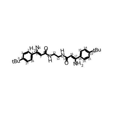 CC(C)(C)c1ccc(C(N)=CC(=O)NCCNC(=O)C=C(N)c2ccc(C(C)(C)C)cc2)cc1